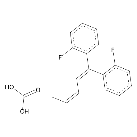 C/C=C\C=C(c1ccccc1F)c1ccccc1F.O=C(O)O